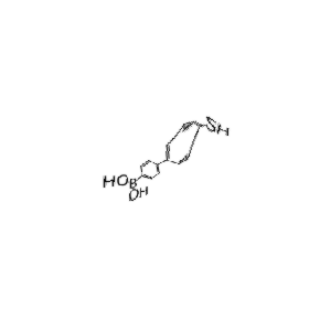 OB(O)c1ccc(-c2ccc(S)cc2)cc1